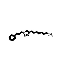 CCCCCCCCC1CN(CCCc2ccccc2)N=N1